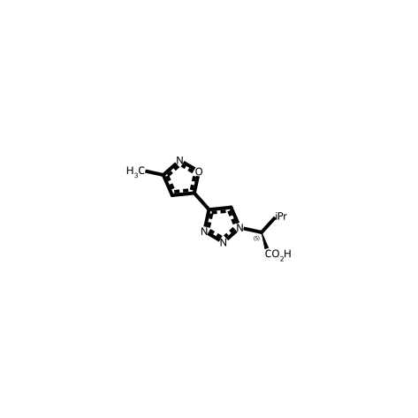 Cc1cc(-c2cn([C@H](C(=O)O)C(C)C)nn2)on1